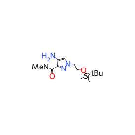 CNC(=O)c1nn(CCO[Si](C)(C)C(C)(C)C)cc1N